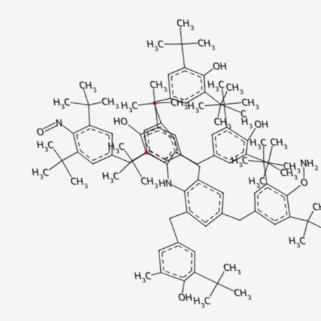 Cc1cc(Cc2cc(Cc3cc(C(C)(C)C)c(ON)c(C(C)(C)C)c3)cc(Cc3cc(C(C)(C)C)c(O)c(C(C)(C)C)c3)c2Nc2c(Cc3cc(C(C)(C)C)c(O)c(C(C)(C)C)c3)cc(Cc3cc(C(C)(C)C)c(O)c(C(C)(C)C)c3)cc2Cc2cc(C(C)(C)C)c(N=O)c(C(C)(C)C)c2)cc(C(C)(C)C)c1O